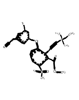 COC(=O)c1c(S(C)(=O)=O)ccc(Oc2cc(F)cc(C#N)c2)c1C#C[Si](C)(C)C